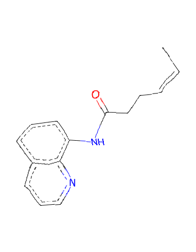 C/C=C\CCC(=O)Nc1cccc2cccnc12